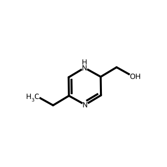 CCC1=CNC(CO)C=N1